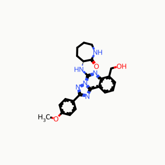 COc1ccc(-c2nc3c4cccc(CO)c4nc(N[C@@H]4CCCCNC4=O)n3n2)cc1